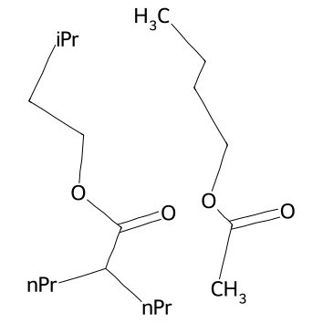 CCCC(CCC)C(=O)OCCC(C)C.CCCCOC(C)=O